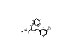 CSCc1cc(-c2cccc(Cl)c2)c2ncccc2c1